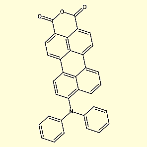 O=C1OC(=O)c2ccc3c4ccc(N(c5ccccc5)c5ccccc5)c5cccc(c6ccc1c2c63)c54